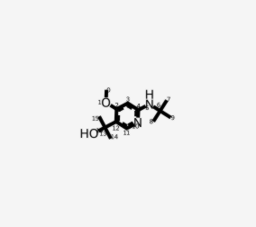 COc1cc(NC(C)(C)C)ncc1C(C)(C)O